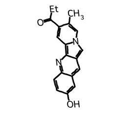 CCC(=O)c1cc2c3nc4ccc(O)cc4cc3cn2cc1C